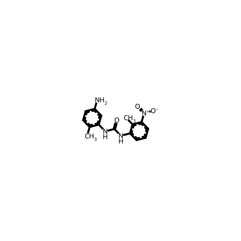 Cc1ccc(N)cc1NC(=O)Nc1cccc([N+](=O)[O-])c1C